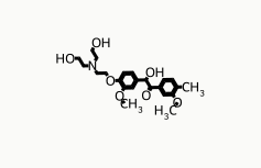 COc1cc(C(=O)C(O)c2ccc(OCCN(CCO)CCO)c(OC)c2)ccc1C